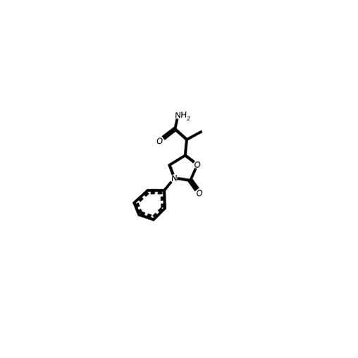 CC(C(N)=O)C1CN(c2ccccc2)C(=O)O1